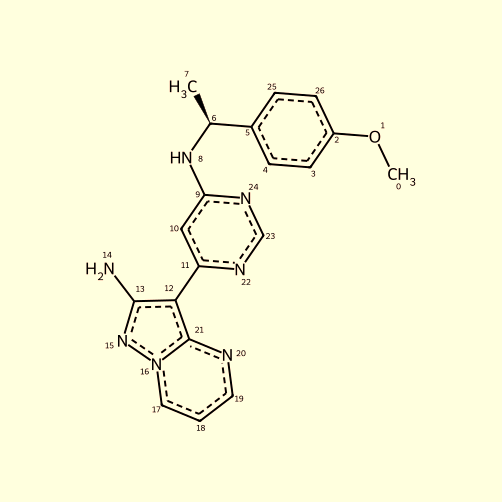 COc1ccc([C@H](C)Nc2cc(-c3c(N)nn4cccnc34)ncn2)cc1